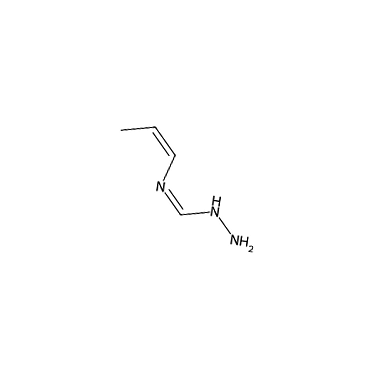 C/C=C\N=C/NN